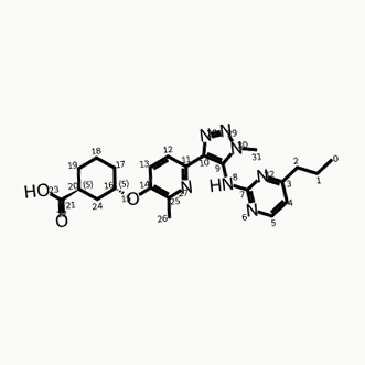 CCCc1ccnc(Nc2c(-c3ccc(O[C@H]4CCC[C@H](C(=O)O)C4)c(C)n3)nnn2C)n1